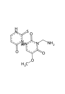 COc1c[nH]c(=O)n(CN)c1=O.O=c1cc[nH]c(=S)[nH]1